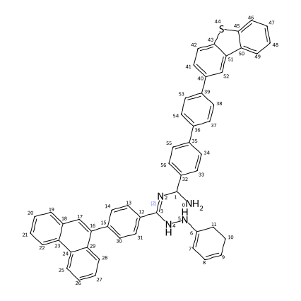 NC(/N=C(\NNC1=CC=CCC1)c1ccc(-c2cc3ccccc3c3ccccc23)cc1)c1ccc(-c2ccc(-c3ccc4sc5ccccc5c4c3)cc2)cc1